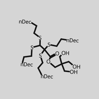 CCCCCCCCCCCCSC(SCCCCCCCCCCCC)C(SCCCCCCCCCCCC)(SCCCCCCCCCCCC)C(=O)OCC(CO)(CO)CO